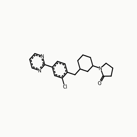 O=C1CCCN1C1CCCC(Cc2ccc(-c3ncccn3)cc2Cl)C1